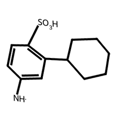 [NH]c1ccc(S(=O)(=O)O)c(C2CCCCC2)c1